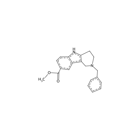 COC(=O)c1ccc2[nH]c3c(c2c1)CN(Cc1ccccc1)CC3